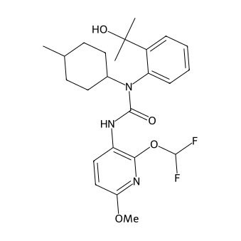 COc1ccc(NC(=O)N(c2ccccc2C(C)(C)O)C2CCC(C)CC2)c(OC(F)F)n1